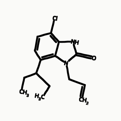 C=CCn1c(=O)[nH]c2c(Cl)ccc(C(CC)CC)c21